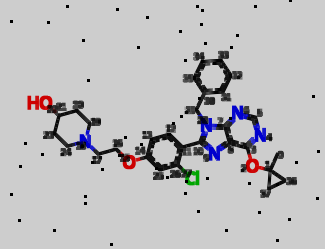 CC1(Oc2ncnc3c2nc(-c2ccc(OCCN4CCC(O)CC4)cc2Cl)n3Cc2ccccc2)CC1